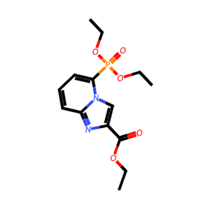 CCOC(=O)c1cn2c(P(=O)(OCC)OCC)cccc2n1